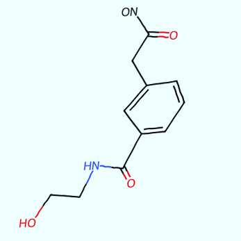 O=NC(=O)Cc1cccc(C(=O)NCCO)c1